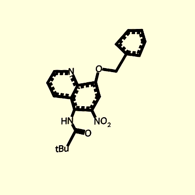 CC(C)(C)C(=O)Nc1c([N+](=O)[O-])cc(OCc2ccccc2)c2ncccc12